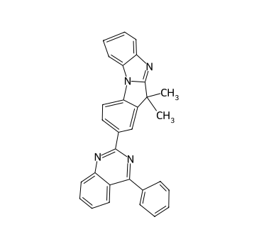 CC1(C)c2cc(-c3nc(-c4ccccc4)c4ccccc4n3)ccc2-n2c1nc1ccccc12